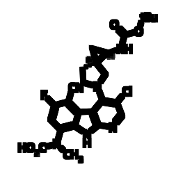 CN(C(=O)O)c1cc(F)c(C#N)c2c1[nH]c1ncc(Cl)c(N3CC[C@@]4(C[C@H]4NC(=O)OC(C)(C)C)C3)c12